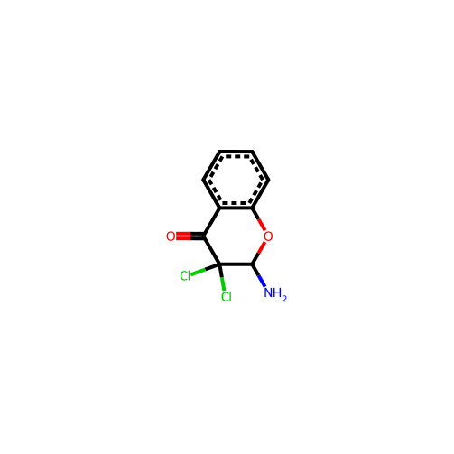 NC1Oc2ccccc2C(=O)C1(Cl)Cl